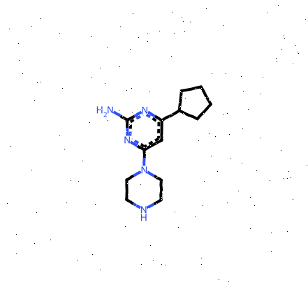 Nc1nc(C2CCCC2)cc(N2CCNCC2)n1